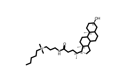 CCCCC[N+](C)(C)CCCNC(=O)CC[C@@H](C)[C@H]1CCC2C3CCC4C[C@H](O)CC[C@]4(C)C3CC[C@@]21C